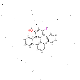 Oc1cc(I)c(-c2ccccc2)c(-c2ccccc2)c1-c1ccccc1